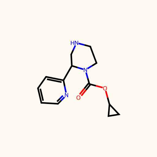 O=C(OC1CC1)N1CCNCC1c1ccccn1